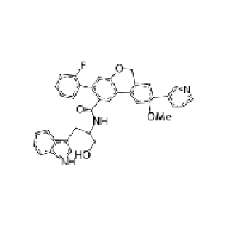 COc1cc2c(cc1-c1cccnc1)COc1cc(-c3ccccc3F)c(C(=O)NC(CO)Cc3c[nH]c4ccccc34)cc1-2